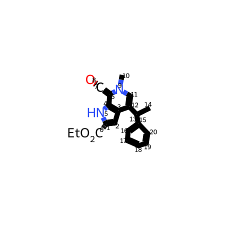 CCOC(=O)c1cc2c([nH]1)C(=C=O)N(C)C=C2C(C)c1ccccc1